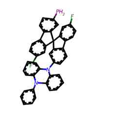 Fc1ccc2c(c1)C1(c3cc(F)ccc3-c3ccc(N4c5ccccc5N(c5ccccc5)c5ccccc54)cc31)c1cc(P)ccc1-2